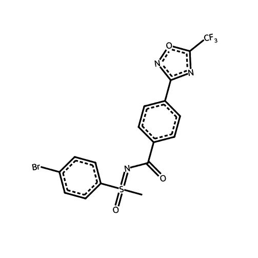 CS(=O)(=NC(=O)c1ccc(-c2noc(C(F)(F)F)n2)cc1)c1ccc(Br)cc1